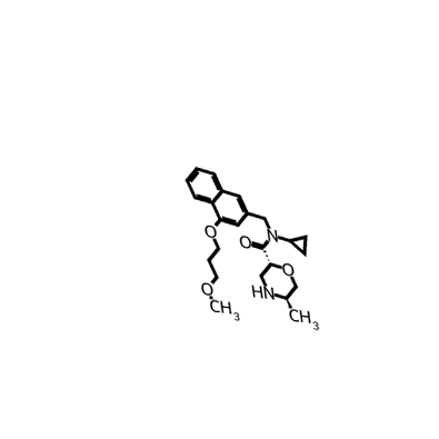 COCCCOc1cc(CN(C(=O)[C@H]2CN[C@H](C)CO2)C2CC2)cc2ccccc12